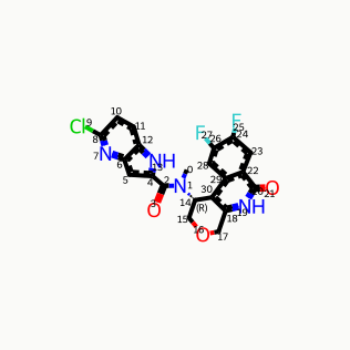 CN(C(=O)c1cc2nc(Cl)ccc2[nH]1)[C@H]1COCc2[nH]c(=O)c3cc(F)c(F)cc3c21